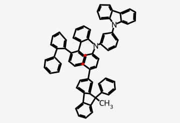 CC1(c2ccccc2)c2ccccc2-c2ccc(-c3ccc(N(c4cccc(-n5c6ccccc6c6ccccc65)c4)c4ccccc4-c4ccccc4-c4ccccc4-c4ccccc4)cc3)cc21